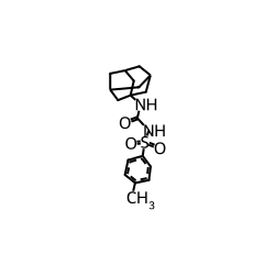 Cc1ccc(S(=O)(=O)NC(=O)NC23CC4CC(CC(C4)C2)C3)cc1